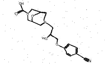 N#Cc1ccc(OCC(O)CN2CC3CN(C(=O)O)CC(C2)O3)cc1